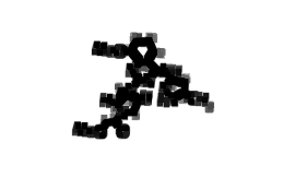 COCC(=O)N1C[C@@H]2C[C@H]1CN2c1nc(Nc2cc(C)n[nH]2)c2cccc(OC)c2n1